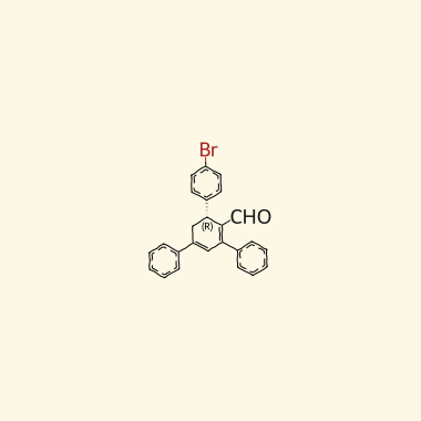 O=CC1=C(c2ccccc2)C=C(c2ccccc2)C[C@@H]1c1ccc(Br)cc1